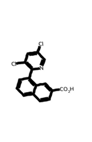 O=C(O)c1ccc2cccc(-c3ncc(Cl)cc3Cl)c2c1